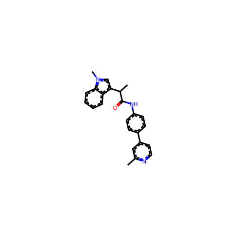 Cc1cc(-c2ccc(NC(=O)C(C)c3cn(C)c4ccccc34)cc2)ccn1